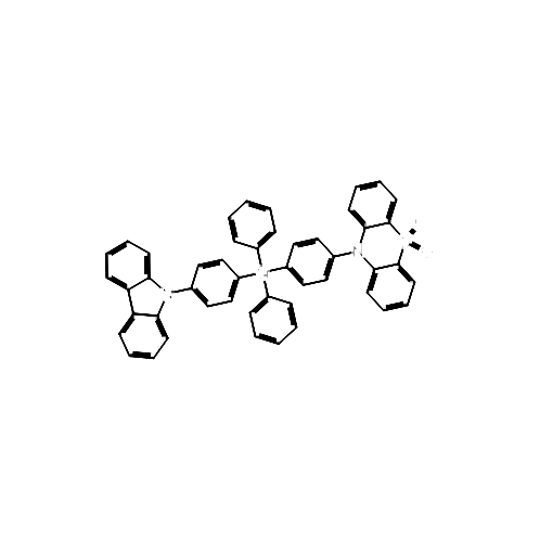 O=S1(=O)c2ccccc2N(c2ccc([Si](c3ccccc3)(c3ccccc3)c3ccc(-n4c5ccccc5c5ccccc54)cc3)cc2)c2ccccc21